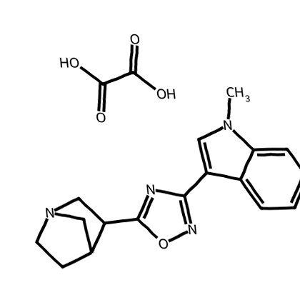 Cn1cc(-c2noc(C3CN4CCC3C4)n2)c2ccccc21.O=C(O)C(=O)O